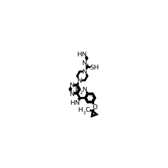 CC1(Oc2ccc(N)c(C(=N)c3cc(N4CCN(/C(S)=N/C=N)CC4)ncn3)c2)CC1